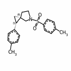 Cc1ccc([C@@H]2C[C@@]23CCN(S(=O)(=O)c2ccc(C)cc2)C3)cc1